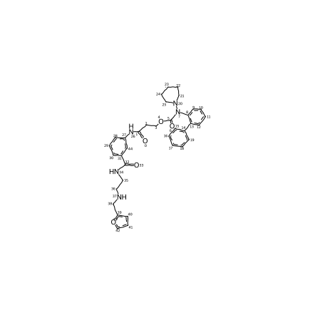 O=C(CCOC(=O)N(c1ccccc1-c1ccccc1)N1CC[CH]CC1)Nc1cccc(C(=O)NCCNCc2ccco2)c1